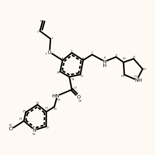 C=CCOc1cc(CNCC2CCNC2)cc(C(=O)NCc2ccc(Cl)nc2)c1